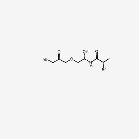 CC(Br)C(=O)N[C](O)COCC(=O)CBr